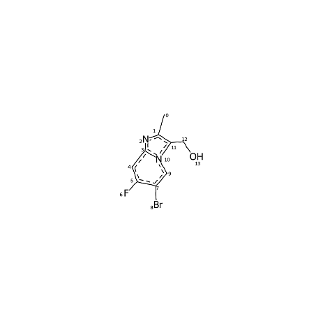 Cc1nc2cc(F)c(Br)cn2c1CO